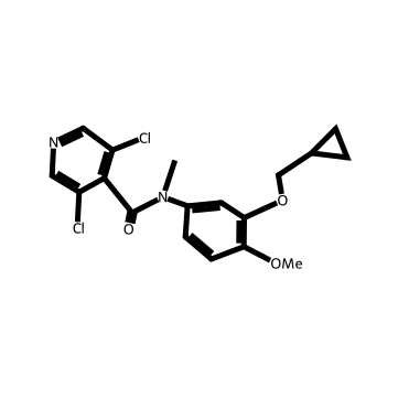 COc1ccc(N(C)C(=O)c2c(Cl)cncc2Cl)cc1OCC1CC1